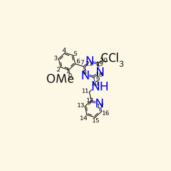 COc1ccccc1-c1nc(NCc2ccccn2)nc(C(Cl)(Cl)Cl)n1